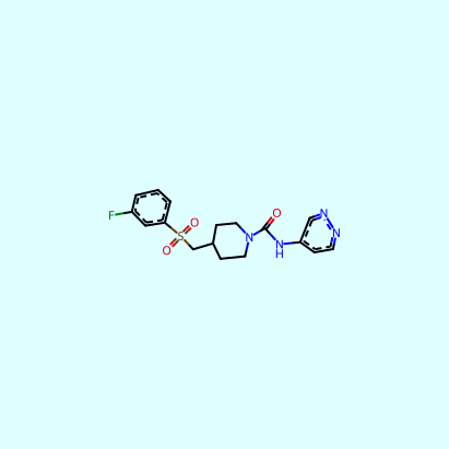 O=C(Nc1ccnnc1)N1CCC(CS(=O)(=O)c2cccc(F)c2)CC1